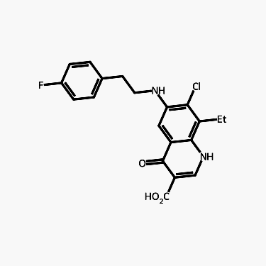 CCc1c(Cl)c(NCCc2ccc(F)cc2)cc2c(=O)c(C(=O)O)c[nH]c12